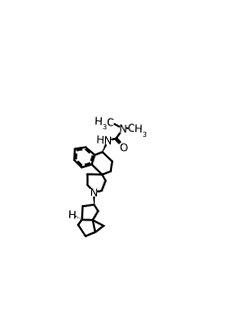 CN(C)C(=O)N[C@H]1CCC2(CCN([C@@H]3C[C@@H]4CCC5CC54C3)CC2)c2ccccc21